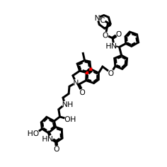 Cc1cccc(CN(CCCNCC(O)c2ccc(O)c3[nH]c(=O)ccc23)C(=O)c2ccc(COc3cccc([C@@H](NC(=O)OC4CN5CCC4CC5)c4ccccc4)c3)cc2)c1